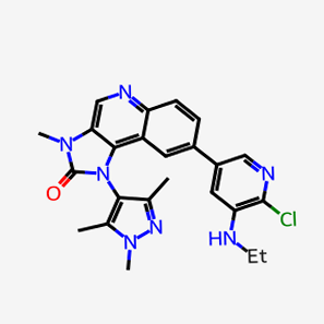 CCNc1cc(-c2ccc3ncc4c(c3c2)n(-c2c(C)nn(C)c2C)c(=O)n4C)cnc1Cl